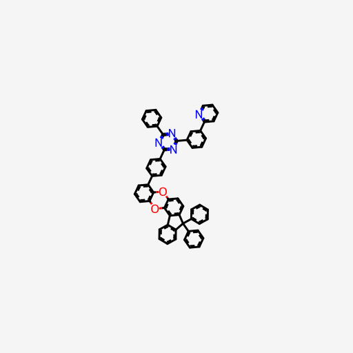 c1ccc(-c2nc(-c3ccc(-c4cccc5c4Oc4ccc6c(c4O5)-c4ccccc4C6(c4ccccc4)c4ccccc4)cc3)nc(-c3cccc(-c4ccccn4)c3)n2)cc1